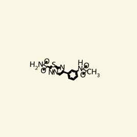 CS(=O)(=O)Nc1cccc(-c2cn3nc(S(N)(=O)=O)sc3n2)c1